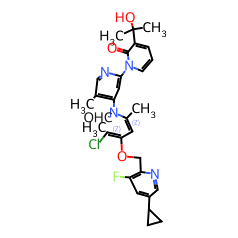 C/C(=C/C(OCc1ncc(C2CC2)cc1F)=C(\C)Cl)N(C=O)c1cc(-n2cccc(C(C)(C)O)c2=O)ncc1C